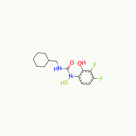 O=C(NCC1CCCCC1)N(S)c1ccc(F)c(F)c1O